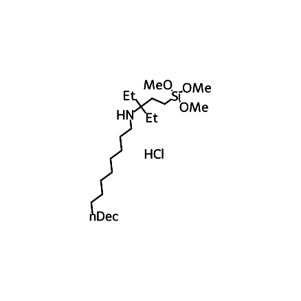 CCCCCCCCCCCCCCCCCCNC(CC)(CC)CC[Si](OC)(OC)OC.Cl